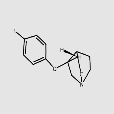 Ic1ccc(O[C@H]2CN3CCC2CC3)cc1